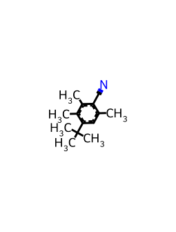 Cc1cc(C(C)(C)C)c(C)c(C)c1C#N